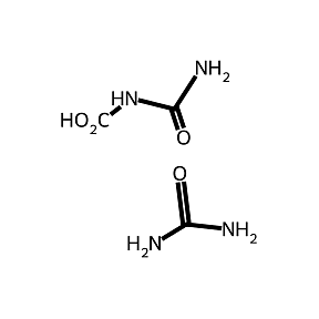 NC(=O)NC(=O)O.NC(N)=O